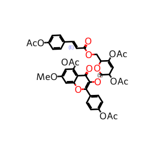 COc1cc(OC(C)=O)c2c(=O)c(O[C@@H]3OC(COC(=O)/C=C/c4ccc(OC(C)=O)cc4)C(OC(C)=O)=CC3OC(C)=O)c(-c3ccc(OC(C)=O)cc3)oc2c1